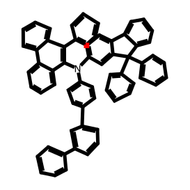 c1ccc(-c2cccc(-c3ccc(N(c4ccc5c(c4)C(c4ccccc4)(c4ccccc4)c4ccccc4-5)c4c(-c5ccccc5)c5ccccc5c5ccccc45)cc3)c2)cc1